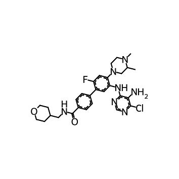 CC1CN(c2cc(F)c(-c3ccc(C(=O)NCC4CCOCC4)cc3)cc2Nc2ncnc(Cl)c2N)CCN1C